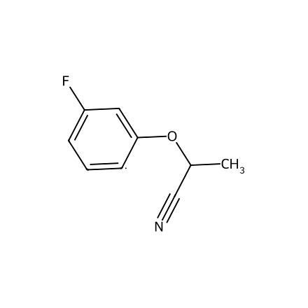 CC(C#N)Oc1[c]ccc(F)c1